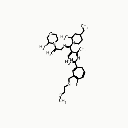 C=C(\N=C(C)/C(=C\C)C(=N\CC(=C)N1CCOCC1C)/N1CCC(CC)C[C@@H]1C)C1=CC(CNCCOC)=C(F)C=CC1